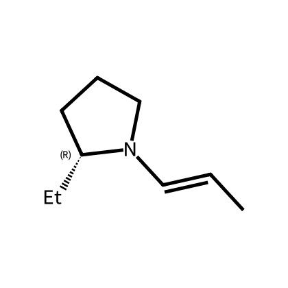 CC=CN1CCC[C@H]1CC